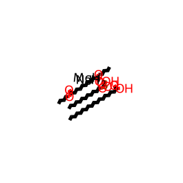 CCCCCCCCCCCCCCCCCC(=O)O.CCCCCCCCCCCCOS(=O)(=O)O.CCCCOC(=O)CCCCCCCCC(=O)OCCCC.[MgH2].[NaH]